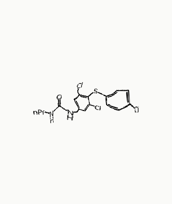 CCCNC(=O)Nc1cc(Cl)c(Sc2ccc(Cl)cc2)c(Cl)c1